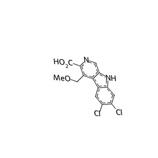 COCc1c(C(=O)O)ncc2[nH]c3cc(Cl)c(Cl)cc3c12